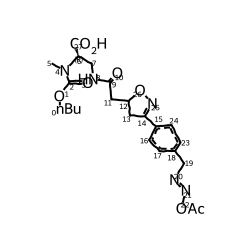 CCCCOC(=O)N(C)[C@H](CNC(=O)CC1CC(c2ccc(CN=NOC(C)=O)cc2)=NO1)C(=O)O